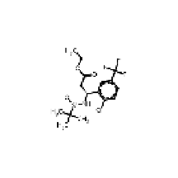 CCOC(=O)C[C@H](N[S@+]([O-])C(C)(C)C)c1cc(C(F)(F)F)ccc1Cl